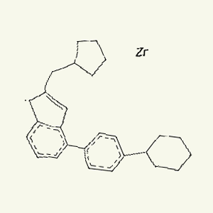 [CH]1C(CC2CCCC2)=Cc2c1cccc2-c1ccc(C2CCCCC2)cc1.[Zr]